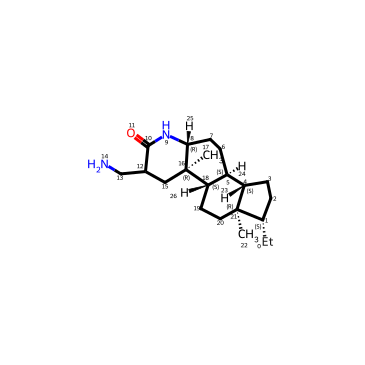 CC[C@H]1CC[C@H]2[C@@H]3CC[C@H]4NC(=O)C(CN)C[C@]4(C)[C@H]3CC[C@]12C